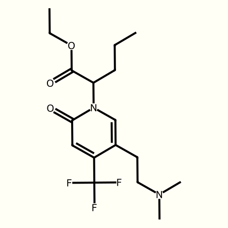 CCCC(C(=O)OCC)n1cc(CCN(C)C)c(C(F)(F)F)cc1=O